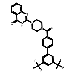 O=C(c1ccc(-c2cc(C(F)(F)F)cc(C(F)(F)F)c2)cc1)N1CCN(c2nc3ccccc3c(=O)[nH]2)CC1